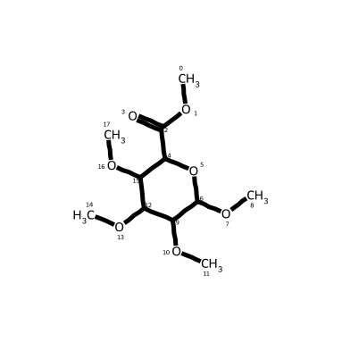 COC(=O)C1OC(OC)C(OC)C(OC)C1OC